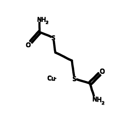 NC(=O)SCCSC(N)=O.[Cu]